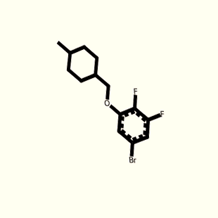 CC1CCC(COc2cc(Br)cc(F)c2F)CC1